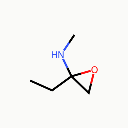 CCC1(NC)CO1